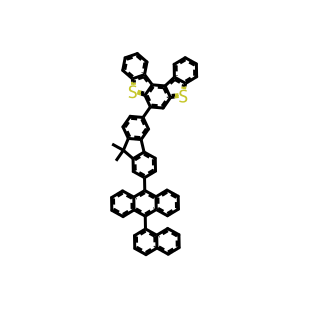 CC1(C)c2ccc(-c3cc4sc5ccccc5c4c4c3sc3ccccc34)cc2-c2ccc(-c3c4ccccc4c(-c4cccc5ccccc45)c4ccccc34)cc21